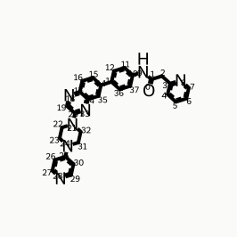 O=C(Cc1ccccn1)Nc1ccc(-c2ccc3ncc(N4CCN(c5ccncc5)CC4)nc3c2)cc1